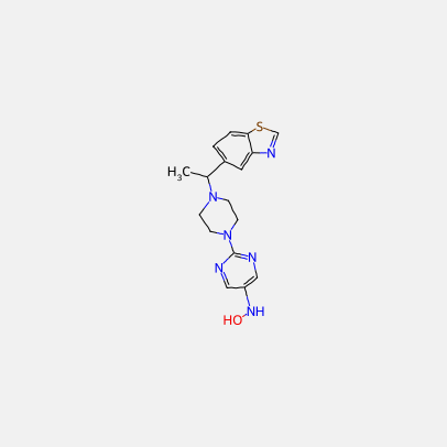 CC(c1ccc2scnc2c1)N1CCN(c2ncc(NO)cn2)CC1